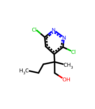 CCCC(C)(CO)c1cc(Cl)nnc1Cl